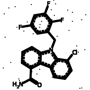 NC(=O)c1cccc2c1c1[c]ccc(Cl)c1n2Cc1cc(F)cc(F)c1F